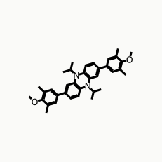 COc1c(C)cc(-c2ccc3c(c2)N(C(C)C)c2ccc(-c4cc(C)c(OC)c(C)c4)cc2N3C(C)C)cc1C